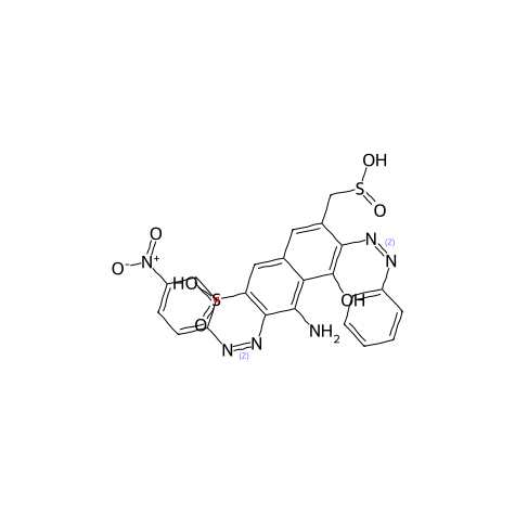 Nc1c(/N=N\c2ccc([N+](=O)[O-])cc2)c(S(=O)O)cc2cc(CS(=O)O)c(/N=N\c3ccccc3)c(O)c12